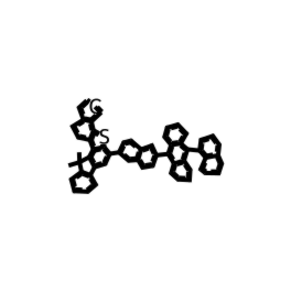 CC1(C)c2ccccc2-c2cc(-c3ccc4cc(-c5c6ccccc6c(-c6cccc7ccccc67)c6ccccc56)ccc4c3)c3sc4c5ccccc5ccc4c3c21